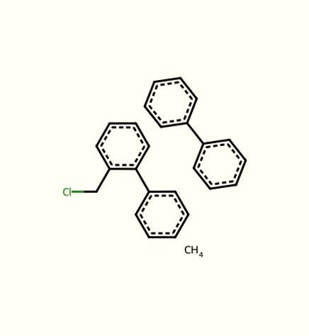 C.ClCc1ccccc1-c1ccccc1.c1ccc(-c2ccccc2)cc1